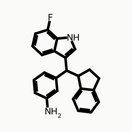 Nc1cccc(C(c2c[nH]c3c(F)cccc23)C2CCc3ccccc32)c1